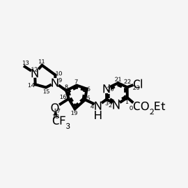 CCOC(=O)c1nc(Nc2ccc(N3CCN(C)CC3)c(OC(F)(F)F)c2)ncc1Cl